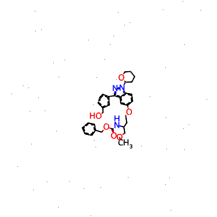 COCC(CCOc1ccc2c(c1)c(-c1cccc(CO)c1)nn2C1CCCCO1)NC(=O)OCc1ccccc1